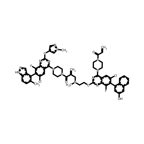 C=CC(=O)N1CCN(c2nc(OCCN(C)CC(=C)C(=O)N3CCN(c4nc(Oc5cnn(C)c5)nc5c(F)c(-c6c(C)ccc7[nH]ncc67)c(Cl)cc45)CC3)nc3c(F)c(-c4cc(O)cc5ccccc45)c(Cl)cc23)CC1